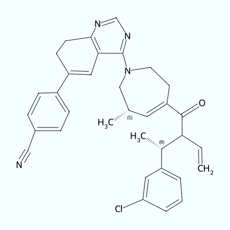 C=CC(C(=O)C1=C[C@H](C)CN(c2ncnc3c2C=C(c2ccc(C#N)cc2)CC3)CC1)[C@@H](C)c1cccc(Cl)c1